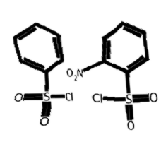 O=S(=O)(Cl)c1ccccc1.O=[N+]([O-])c1ccccc1S(=O)(=O)Cl